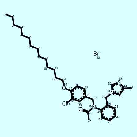 CCCCCCCCCCCCCCOc1ccc(CN(C(C)=O)c2ccccc2C[n+]2csc(C)c2)cc1Cl.[Br-]